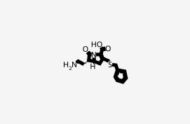 NCC[C@@H]1C(=O)N2C(C(=O)O)=C(CSCc3ccccc3)C[C@@H]12